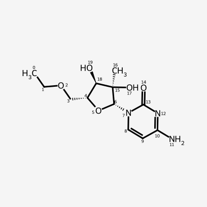 CCOC[C@H]1O[C@@H](n2ccc(N)nc2=O)[C@](C)(O)[C@@H]1O